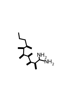 C=C(CCC)C(=C)C(=C)C(=C)C(=C)C(=C)C(N)N